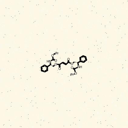 CC(C)OC(=O)N[C@H](COC(=O)/C=C/C(=O)OC[C@@H](NC(=O)OC(C)C)c1ccccc1)c1ccccc1